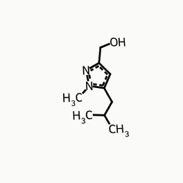 CC(C)Cc1cc(CO)nn1C